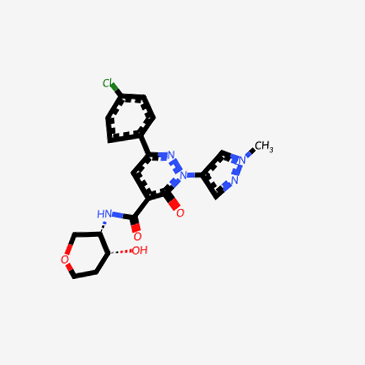 Cn1cc(-n2nc(-c3ccc(Cl)cc3)cc(C(=O)N[C@H]3COCC[C@H]3O)c2=O)cn1